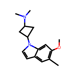 COc1cc2c(ccn2C2CC(N(C)C)C2)cc1C